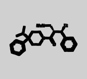 CC[C@@H](c1ccccc1)[C@@H](CNC)C(=O)N1CCC(c2ccccc2)(N(C)C)CC1